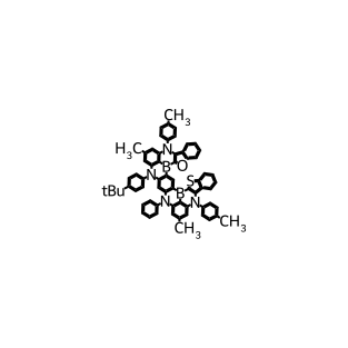 Cc1ccc(N2c3cc(C)cc4c3B(c3cc5c(cc3N4c3ccc(C(C)(C)C)cc3)N(c3ccccc3)c3cc(C)cc4c3B5c3sc5ccccc5c3N4c3ccc(C)cc3)c3oc4ccccc4c32)cc1